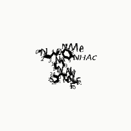 C=N/C=C\CC(Oc1ccc(NC(C)=O)cc1NC)N1CCN(C(c2ccsc2)c2nnn(C(F)F)n2)CC1